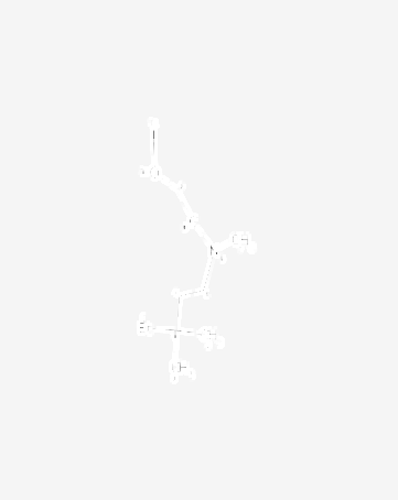 CCC(C)(C)CCN(C)CCOI